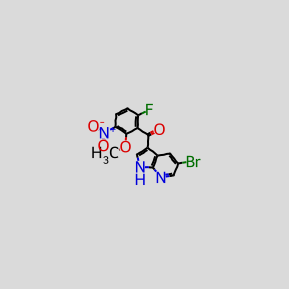 COc1c([N+](=O)[O-])ccc(F)c1C(=O)c1c[nH]c2ncc(Br)cc12